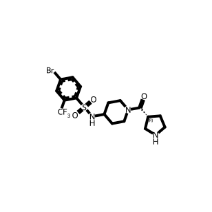 O=C([C@@H]1CCNC1)N1CCC(NS(=O)(=O)c2ccc(Br)cc2C(F)(F)F)CC1